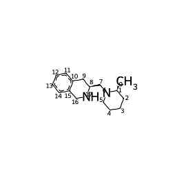 C[C@H]1CCCCN1C[C@@H]1Cc2ccccc2CN1